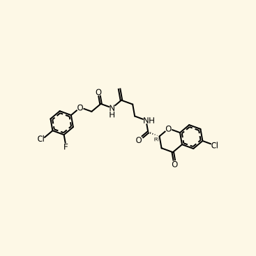 C=C(CCNC(=O)[C@H]1CC(=O)c2cc(Cl)ccc2O1)NC(=O)COc1ccc(Cl)c(F)c1